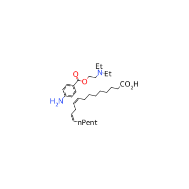 CCCCC/C=C\C/C=C\CCCCCCCC(=O)O.CCN(CC)CCOC(=O)c1ccc(N)cc1